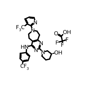 O=C(O)C(F)(F)F.O[C@H]1CCCN(c2nc3c(c(Nc4ccc(C(F)(F)F)cc4)n2)CCN(c2ncccc2C(F)(F)F)CC3)C1